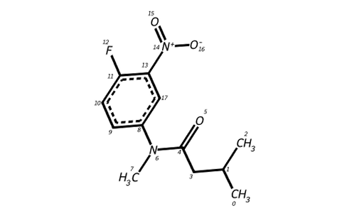 CC(C)CC(=O)N(C)c1ccc(F)c([N+](=O)[O-])c1